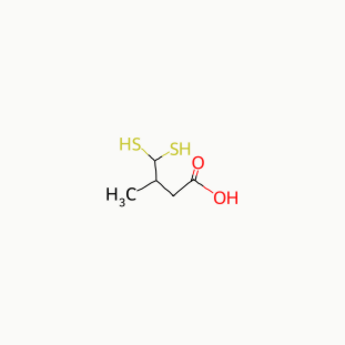 CC(CC(=O)O)C(S)S